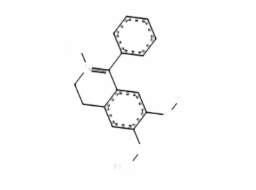 COc1cc2c(cc1OC)C(c1ccccc1)=[N+](C)CC2.[I-]